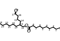 CCCCCCCCCC(=O)OCC(CCCC=O)CCCCCC